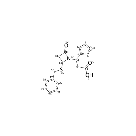 O=C(O)CC(c1ccoc1)N1C(=O)CC1SCc1ccccc1